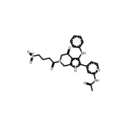 CC(=O)Nc1cc(-c2[nH]c3c(c2Nc2ccccc2)C(=O)CN(C(=O)CCC[SH](=O)=O)C3)ccn1